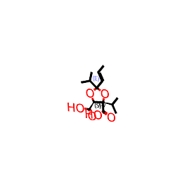 C/C=C/C1(C(C)C)O[C@H](C(=O)O)[C@](C(=O)O)(C(C)C)O1